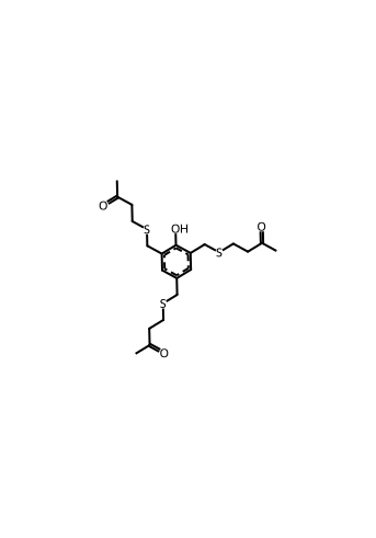 CC(=O)CCSCc1cc(CSCCC(C)=O)c(O)c(CSCCC(C)=O)c1